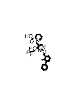 Cc1c(COc2ncc(CN3CCCC[C@H]3C(=O)O)c(OCC(F)(F)F)n2)cccc1-c1ccccc1